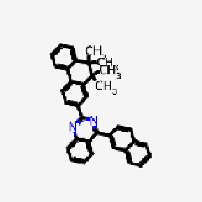 CC1(C)c2ccccc2-c2ccc(-c3nc(-c4ccc5ccccc5c4)c4ccccc4n3)cc2C1(C)C